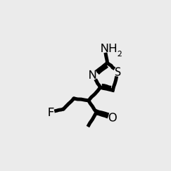 CC(=O)C(CCF)c1csc(N)n1